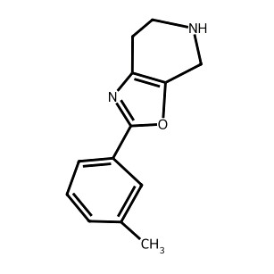 Cc1cccc(-c2nc3c(o2)CNCC3)c1